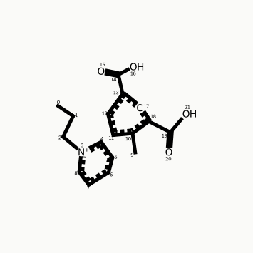 CCC[n+]1ccccc1.Cc1ccc(C(=O)O)cc1C(=O)O